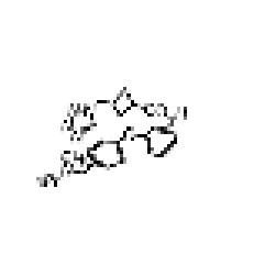 CCCN(C=O)Cc1ccc(Oc2ccccc2)cc1.O=C(O)C1CC(Cn2cnnn2)C1